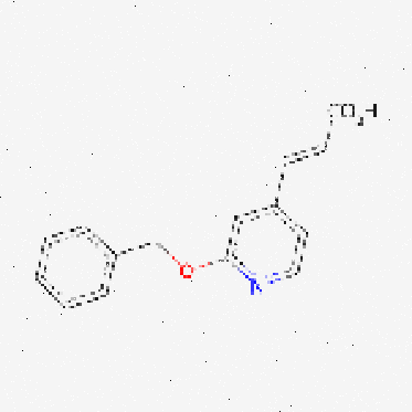 O=C(O)C=Cc1ccnc(OCc2ccccc2)c1